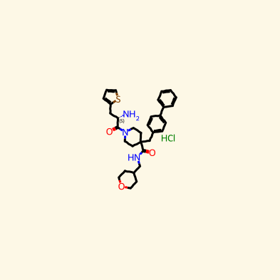 Cl.N[C@@H](Cc1cccs1)C(=O)N1CCC(Cc2ccc(-c3ccccc3)cc2)(C(=O)NCC2CCOCC2)CC1